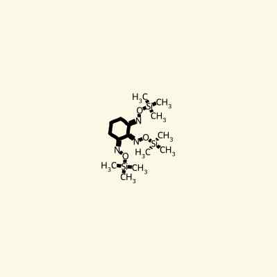 C[Si](C)(C)O/N=C1/CCCC(=N\O[Si](C)(C)C)/C1=N\O[Si](C)(C)C